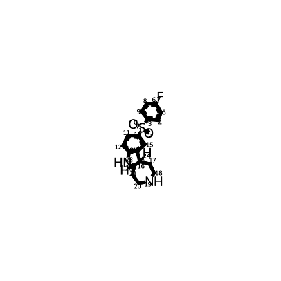 O=S(=O)(c1ccc(F)cc1)c1ccc2c(c1)[C@@H]1CCNCC[C@H]1N2